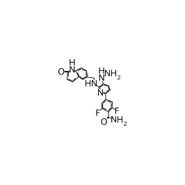 NNc1ccc(-c2cc(F)c(C(N)=O)c(F)c2)nc1NCc1ccc2[nH]c(=O)ccc2c1